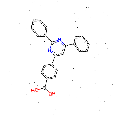 OB(O)c1ccc(-c2cc(-c3ccccc3)nc(-c3ccccc3)n2)cc1